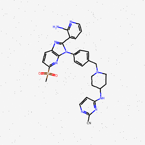 CS(=O)(=O)c1ccc2nc(-c3cccnc3N)n(-c3ccc(CN4CCC(Nc5ccnc(C#N)n5)CC4)cc3)c2n1